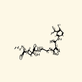 N=C(Nc1ccc(F)c(C(F)F)c1)c1nonc1SCCNC(=O)C1(O)CN(C(N)=O)C1